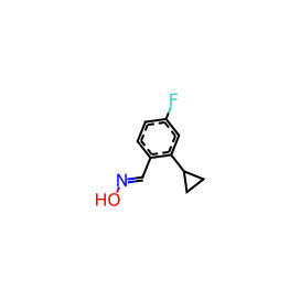 ON=Cc1ccc(F)cc1C1CC1